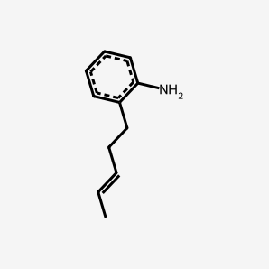 CC=CCCc1ccccc1N